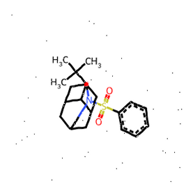 CC(C)(C)CC1C2CC3CC1CC(C2)N3S(=O)(=O)c1ccccc1